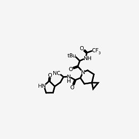 CC(C)(C)C(NC(=O)C(F)(F)F)C(=O)N1CCC2(CC2)CC1C(=O)NC(C#N)CC1CCNC1=O